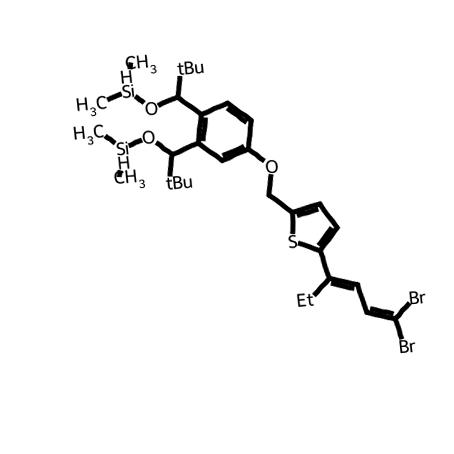 CCC(=CC=C(Br)Br)c1ccc(COc2ccc(C(O[SiH](C)C)C(C)(C)C)c(C(O[SiH](C)C)C(C)(C)C)c2)s1